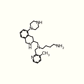 Cc1cccnc1CN(CCCCN)CC1Cc2c(cccc2N2CCNCC2)CN1